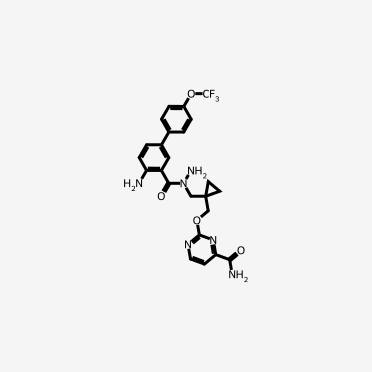 NC(=O)c1ccnc(OCC2(CN(N)C(=O)c3cc(-c4ccc(OC(F)(F)F)cc4)ccc3N)CC2)n1